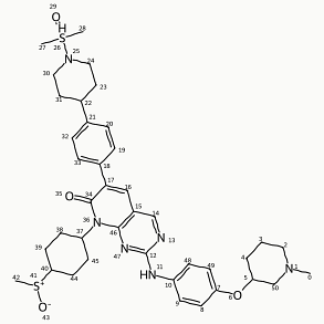 CN1CCCC(Oc2ccc(Nc3ncc4cc(-c5ccc(C6CCN([SH](C)(C)=O)CC6)cc5)c(=O)n(C5CCC([S+](C)[O-])CC5)c4n3)cc2)C1